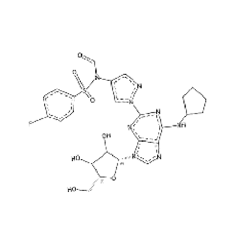 O=CN(c1cnn(-c2nc(NC3CCCC3)c3ncn([C@@H]4O[C@H](CO)C(O)C4O)c3n2)c1)S(=O)(=O)c1ccc(F)cc1